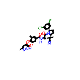 Cc1cc(Oc2ccc(C(=O)NC(C)C(=O)N3[C@H](c4cc(F)cc(Cl)c4)CC[C@@H]3C(C)(C)C#N)cc2C)c(=O)[nH]n1